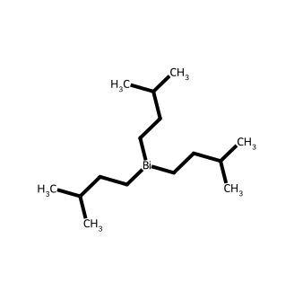 CC(C)C[CH2][Bi]([CH2]CC(C)C)[CH2]CC(C)C